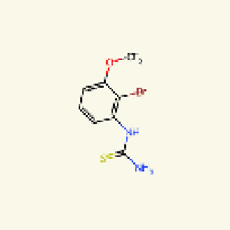 NC(=S)Nc1cccc(OC(F)(F)F)c1Br